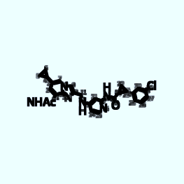 CC(=O)Nc1cc(C2CC2)cn2cc(CNc3ccnc(NC(=O)[C@H]4C[C@@H]4c4cccc(Cl)c4)c3)nc12